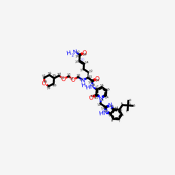 CC(C)(C)Cc1cccc2[nH]c(Cn3cccc(NC(=O)[C@H](CC/C=C/C(N)=O)NCOCOCC4CCOCC4)c3=O)nc12